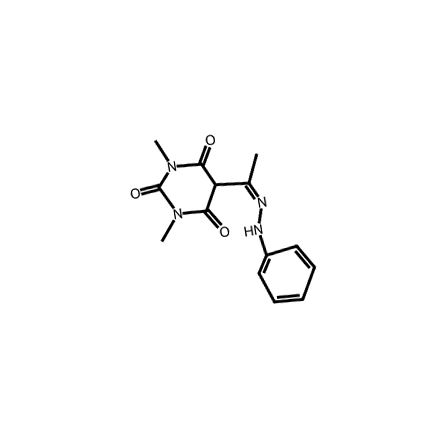 CC(=NNc1ccccc1)C1C(=O)N(C)C(=O)N(C)C1=O